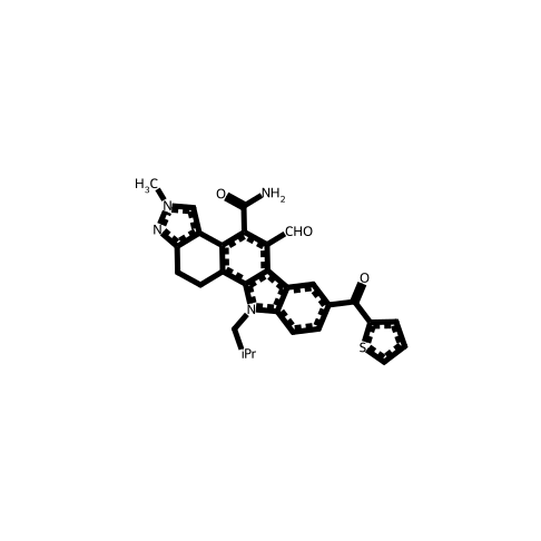 CC(C)Cn1c2ccc(C(=O)c3cccs3)cc2c2c(C=O)c(C(N)=O)c3c(c21)CCc1nn(C)cc1-3